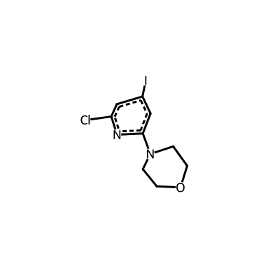 Clc1cc(I)cc(N2CCOCC2)n1